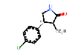 O=C(O)C1C(=O)NC[C@H]1c1ccc(Cl)cc1